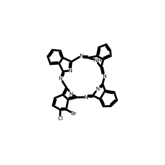 Clc1ccc2c3nc4nc(nc5[nH]c(nc6nc(nc([nH]3)c2c1Br)-c1ccccc1-6)c1ccccc51)-c1ccccc1-4